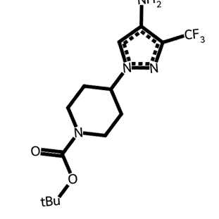 CC(C)(C)OC(=O)N1CCC(n2cc(N)c(C(F)(F)F)n2)CC1